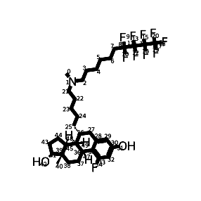 CN(CCCCCCC(F)(F)C(F)(F)C(F)(F)C(F)(F)F)CCCCC[C@@H]1Cc2cc(O)cc(F)c2[C@H]2CC[C@]3(C)[C@@H](O)CC[C@H]3[C@H]12